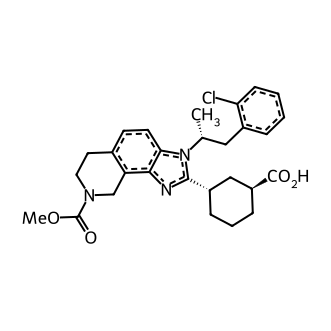 COC(=O)N1CCc2ccc3c(nc([C@H]4CCC[C@H](C(=O)O)C4)n3[C@H](C)Cc3ccccc3Cl)c2C1